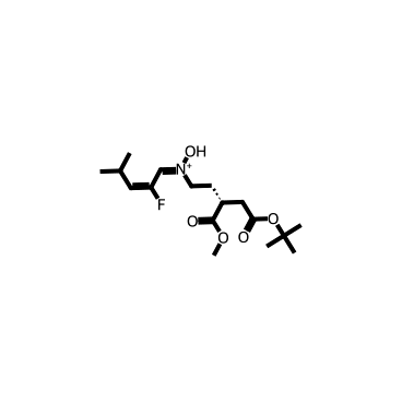 COC(=O)[C@H](CC/[N+](O)=C\C(F)=C/C(C)C)CC(=O)OC(C)(C)C